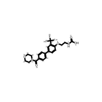 O=C(O)NCCOc1ccc(-c2ccc(C(=O)N3CCOCC3)cc2)cc1C(F)(F)F